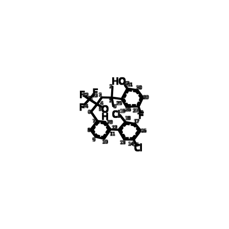 CC(C)(CC(O)(Cc1cccc(-c2cc(Cl)ccc2Cl)c1)C(F)(F)F)c1cc(F)ccc1O